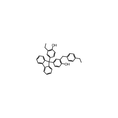 CCc1ccc(Cc2cc(C3(c4ccc(O)c(CC)c4)c4ccccc4-c4ccccc43)ccc2O)cc1